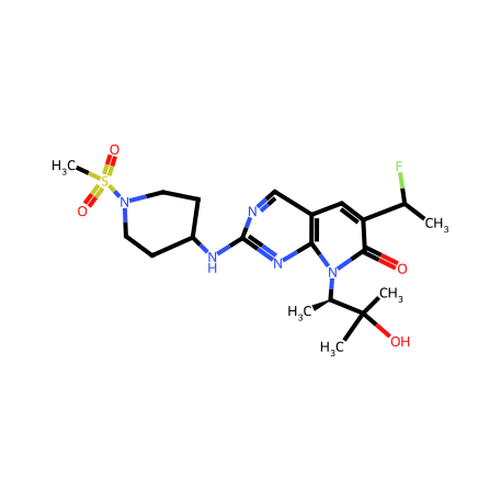 CC(F)c1cc2cnc(NC3CCN(S(C)(=O)=O)CC3)nc2n([C@H](C)C(C)(C)O)c1=O